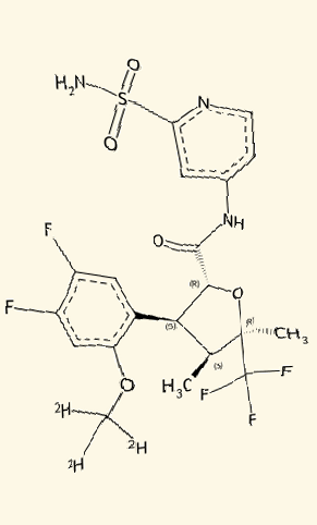 [2H]C([2H])([2H])Oc1cc(F)c(F)cc1[C@H]1[C@H](C(=O)Nc2ccnc(S(N)(=O)=O)c2)O[C@@](C)(C(F)(F)F)[C@H]1C